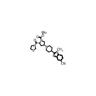 Cn1c(C2CCN([C@H]3C[C@@H](C(=O)N4CCSC4)N(C(=O)OC(C)(C)C)C3)CC2)nc2cc(C#N)ccc21